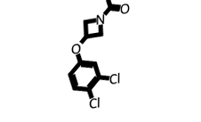 O=C(Cl)N1CC(Oc2ccc(Cl)c(Cl)c2)C1